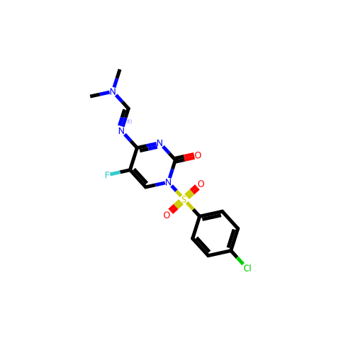 CN(C)/C=N/c1nc(=O)n(S(=O)(=O)c2ccc(Cl)cc2)cc1F